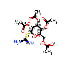 CC(=O)OC[C@H]1O[C@@H](SC(=N)N)[C@H](OC(C)=O)[C@@H](OC(C)=O)[C@@H]1OC(C)=O